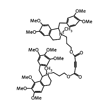 COc1ccc(CC2c3cc(OC)c(OC)cc3CC[N+]2(C)CCCOC(=O)C#CC(=O)OCCC[N+]2(C)CCc3cc(OC)c(OC)c(OC)c3C2Cc2cc(OC)c(OC)c(OC)c2)cc1OC